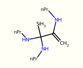 C=C(NCCC)C([SiH3])(NCCC)NCCC